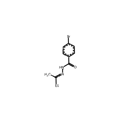 CCC(C)=NNC(=O)c1ccc(Br)cc1